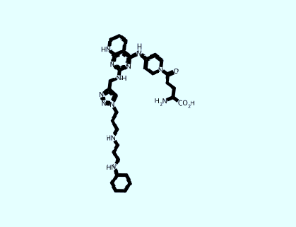 NC(CCC(=O)N1CCC(Nc2nc(NCc3cn(CCCNCCCNC4CCCCC4)nn3)nc3c2CCCN3)CC1)C(=O)O